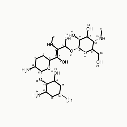 CN/C(=C(/O)C1CCC(N)[C@@H](O[C@@H]2C(N)C[C@@H](N)CC2O)O1)C(O)O[C@H]1OC(CO)[C@@H](NC)C(O)[C@@H]1O